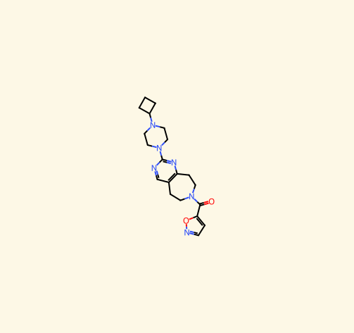 O=C(c1ccno1)N1CCc2cnc(N3CCN(C4CCC4)CC3)nc2CC1